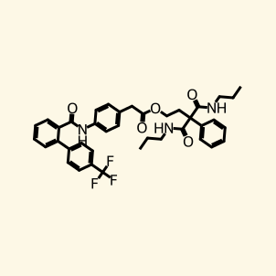 CCCNC(=O)C(CCOC(=O)Cc1ccc(NC(=O)c2ccccc2-c2ccc(C(F)(F)F)cc2)cc1)(C(=O)NCCC)c1ccccc1